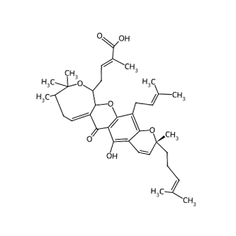 CC(C)=CCC[C@]1(C)C=Cc2c(O)c3c(c(CC=C(C)C)c2O1)OC1/C(=C\CC(C)C(C)(C)OC1C/C=C(\C)C(=O)O)C3=O